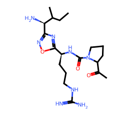 CCC(C)[C@H](N)c1noc([C@H](CCCNC(=N)N)NC(=O)N2CCCC2C(C)=O)n1